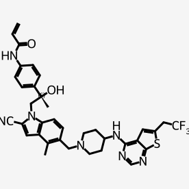 C=CC(=O)Nc1ccc([C@](C)(O)Cn2c(C#N)cc3c(C)c(CN4CCC(Nc5ncnc6sc(CC(F)(F)F)cc56)CC4)ccc32)cc1